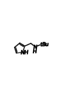 CC(C)(C)NCc1ccc[nH]1